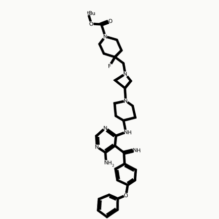 CC(C)(C)OC(=O)N1CCC(F)(CN2CC(N3CCC(Nc4ncnc(N)c4C(=N)c4ccc(Oc5ccccc5)cc4)CC3)C2)CC1